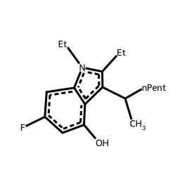 CCCCCC(C)c1c(CC)n(CC)c2cc(F)cc(O)c12